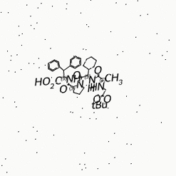 C[C@H](NCC(=O)OC(C)(C)C)C(=O)N[C@H](C(=O)N1CCC[C@H]1C(=O)N[C@H](C(=O)O)C(c1ccccc1)c1ccccc1)C1CCCCC1